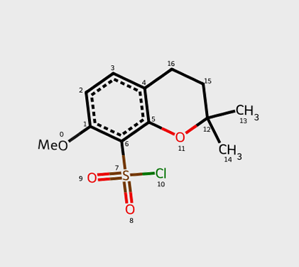 COc1ccc2c(c1S(=O)(=O)Cl)OC(C)(C)CC2